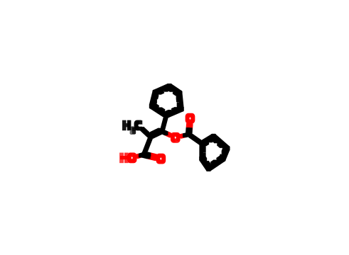 CC(C(=O)O)=C(OC(=O)c1ccccc1)c1ccccc1